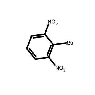 CCC(C)c1c([N+](=O)[O-])cccc1[N+](=O)[O-]